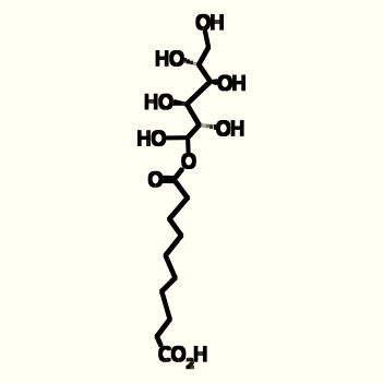 O=C(O)CCCCCCCCC(=O)OC(O)[C@@H](O)[C@@H](O)[C@H](O)[C@H](O)CO